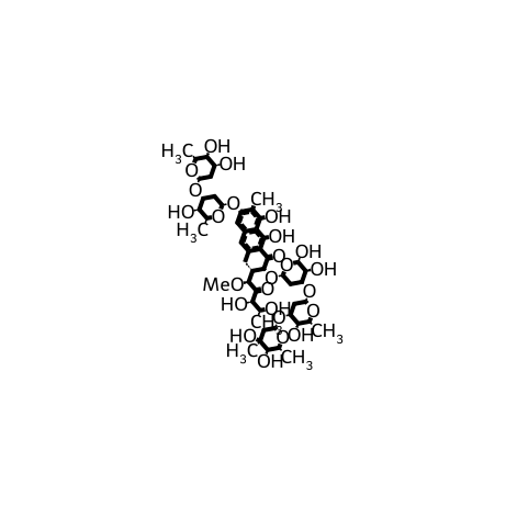 CO[C@H](C(=O)[C@@H](O)[C@@H](C)O)[C@@H]1Cc2cc3cc(O[C@H]4C[C@@H](O[C@H]5C[C@@H](O)[C@H](O)[C@@H](C)O5)[C@@H](O)[C@@H](C)O4)c(C)c(O)c3c(O)c2C(=O)[C@H]1O[C@H]1C[C@@H](O[C@H]2C[C@@H](O[C@H]3C[C@](C)(O)[C@H](O)[C@@H](C)O3)[C@H](O)[C@@H](C)O2)[C@H](O)[C@@H](O)O1